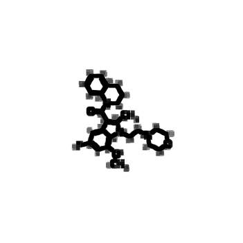 COc1cc(F)cc2c(C(=O)N3CCCc4ccccc43)c(C)n(CCN3CCOCC3)c12